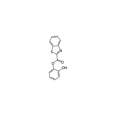 O=C(Oc1ccccc1O)c1nc2ccccc2s1